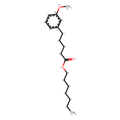 CCCCCCCOC(=O)CCCCc1cccc(OC)c1